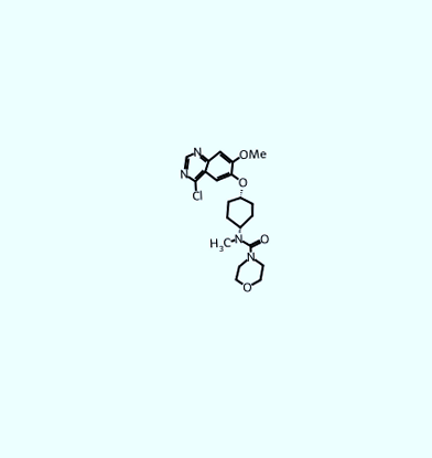 COc1cc2ncnc(Cl)c2cc1O[C@H]1CC[C@@H](N(C)C(=O)N2CCOCC2)CC1